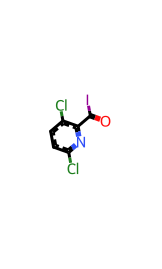 O=C(I)c1nc(Cl)ccc1Cl